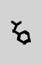 CC(C)Oc1ccnnc1